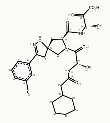 CCC[C@H](NC(=O)[C@@H]1C[C@]2(CC(c3cccc(Cl)c3)=NO2)CN1C(=O)[C@@H](NC(=O)CC1CCCCC1)C(C)(C)C)C(=O)C(=O)O